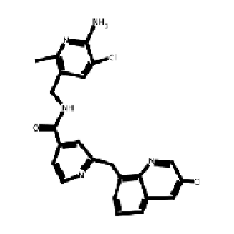 Cc1nc(N)c(Cl)cc1CNC(=O)c1ccnc(Cc2cccc3cc(Cl)cnc23)c1